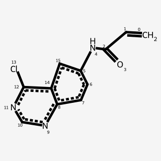 C=CC(=O)Nc1ccc2ncnc(Cl)c2c1